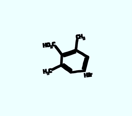 Br.Cc1cccc(C)c1C(=O)O